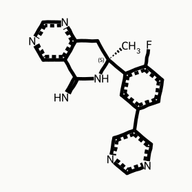 C[C@@]1(c2cc(-c3cncnc3)ccc2F)Cc2ncncc2C(=N)N1